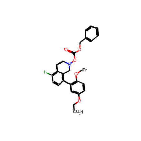 CC(C)Oc1ccc(OCC(=O)O)cc1-c1ccc(F)c2c1CN(OC(=O)OCc1ccccc1)CC2